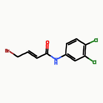 O=C(C=CCBr)Nc1ccc(Cl)c(Cl)c1